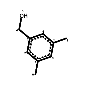 Cc1[c]c(CO)cc(C)c1